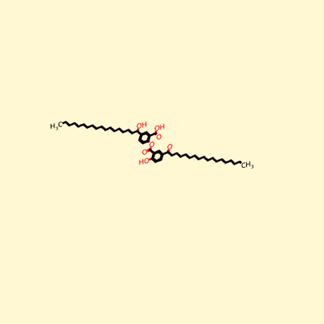 CCCCCCCCCCCCCCCCCC(=O)c1ccc(O)c(C(=O)Oc2ccc(C(O)CCCCCCCCCCCCCCCCC)cc2C(=O)O)c1